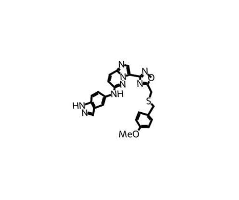 COc1ccc(CSCc2nc(-c3cnc4ccc(Nc5ccc6[nH]ncc6c5)nn34)no2)cc1